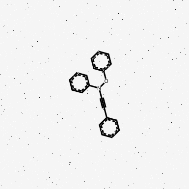 C(#CN(Oc1ccccc1)c1ccccc1)c1ccccc1